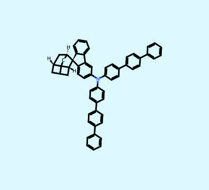 c1ccc(-c2ccc(-c3ccc(N(c4ccc(-c5ccc(-c6ccccc6)cc5)cc4)c4ccc5c(c4)-c4ccccc4[C@@]54[C@@H]5C[C@H]6CC7C[C@@H]4C76C5)cc3)cc2)cc1